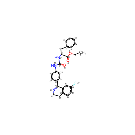 CCOC(=O)C(Cc1ccccc1)NC(=O)Nc1ccc(C2=NCCc3ccc(F)cc32)cc1